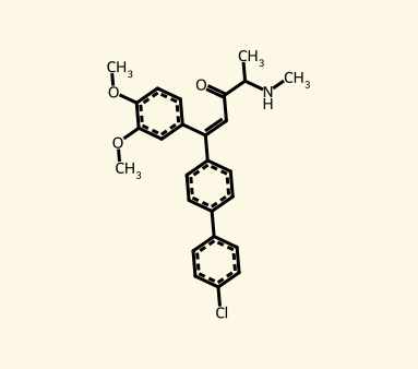 CNC(C)C(=O)C=C(c1ccc(-c2ccc(Cl)cc2)cc1)c1ccc(OC)c(OC)c1